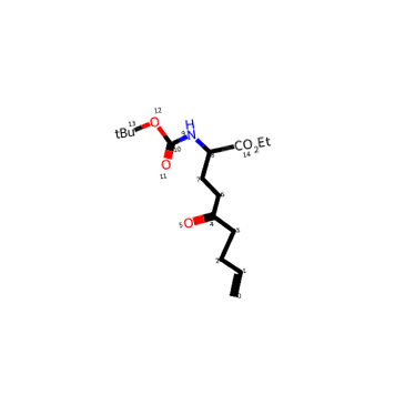 C=CCCC(=O)CCC(NC(=O)OC(C)(C)C)C(=O)OCC